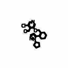 O=Cc1c(Cl)cncc1OCC1=C(c2ccnn2C2CCCC2)CCCC1